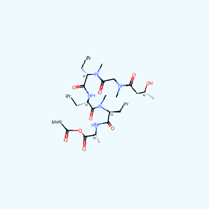 CNC(=O)OC(=O)[C@@H](C)NC(=O)[C@H](CC(C)C)N(C)C(=O)[C@H](CC(C)C)NC(=O)[C@H](CC(C)C)N(C)C(=O)CN(C)C(=O)C[C@@H](C)O